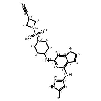 Cc1cc(Nc2nc(NC3CCN(S(=O)(=O)N4CC(C#N)C4)CC3)nc3sccc23)n[nH]1